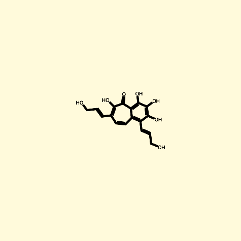 O=c1c(O)c(/C=C/CO)ccc2c(/C=C/CO)c(O)c(O)c(O)c12